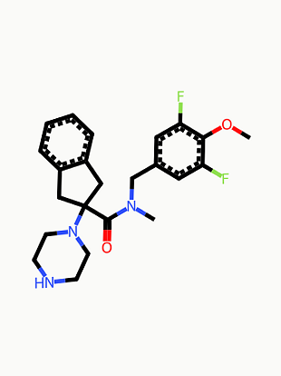 COc1c(F)cc(CN(C)C(=O)C2(N3CCNCC3)Cc3ccccc3C2)cc1F